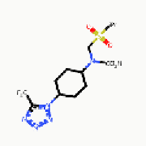 CC(C)S(=O)(=O)CN(C(=O)O)C1CCC(n2nnnc2C(F)(F)F)CC1